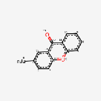 CCCCc1ccc2oc3ccccc3c(=O)c2c1